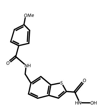 COc1ccc(C(=O)NCc2ccc3cc(C(=O)NO)sc3c2)cc1